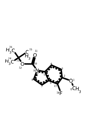 COc1ccc2c(ccn2C(=O)OC(C)(C)C)c1F